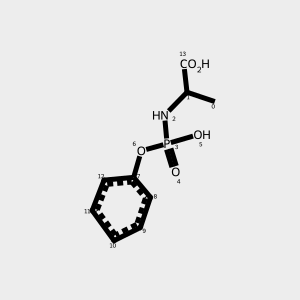 CC(NP(=O)(O)Oc1ccccc1)C(=O)O